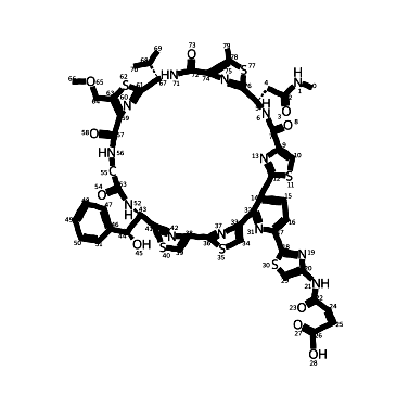 CNC(=O)C[C@@H]1NC(=O)c2csc(n2)-c2ccc(-c3nc(NC(=O)/C=C\C(=O)O)cs3)nc2-c2csc(n2)-c2csc(n2)[C@H]([C@@H](O)c2ccccc2)NC(=O)CNC(=O)c2nc(sc2COC)[C@H](C(C)C)NC(=O)c2nc1sc2C